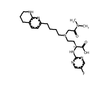 CN(C)C(=O)CN(CCCCc1ccc2c(n1)NCCC2)CC[C@H](Nc1ncc(F)cn1)C(=O)O